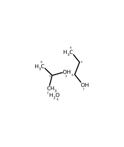 CC(C)O.CCCO.O